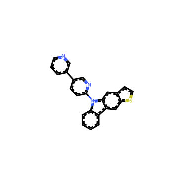 c1cncc(-c2ccc(-n3c4ccccc4c4cc5sccc5cc43)nc2)c1